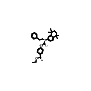 CCOC(=O)c1ccc(NC(=O)N(CCc2ccccc2)c2ccc3c(c2)C(C)(C)CCC3(C)C)cc1